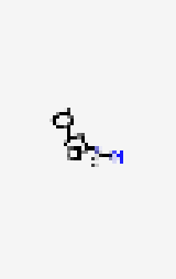 CCC(CC/C=C/C#N)C1CCCCC1